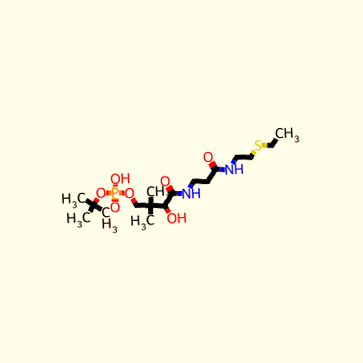 CCSCCNC(=O)CCNC(=O)C(O)C(C)(C)COP(=O)(O)OC(C)(C)C